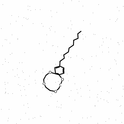 CCCCCCCCCCc1ccc2c(c1)OCCOCCOCCO2